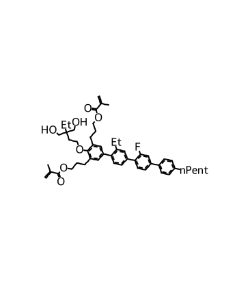 C=C(C)C(=O)OCCCc1cc(-c2ccc(-c3ccc(-c4ccc(CCCCC)cc4)cc3F)cc2CC)cc(CCCOC(=O)C(=C)C)c1OCCC(CC)(CO)CO